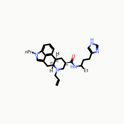 C=CCN1C[C@H](C(=O)NC(CC)CCc2c[nH]cn2)C[C@@H]2c3cccc4c3c(cn4CCC)C[C@H]21